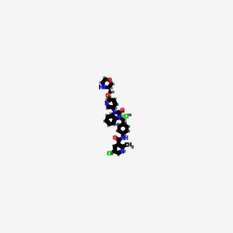 Cc1ncc(Cl)cc1C(=O)NC1CCC(Cn2c(=O)n(-c3ccc(OC[C@H]4COCCN4)nc3)c3ccccc32)CC1.Cl